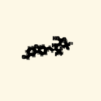 CC(C)(F)C[C@H](N[C@@H](CCc1ccc2c(c1)oc1ccc(C=O)cc12)C(F)(F)F)C(=O)O